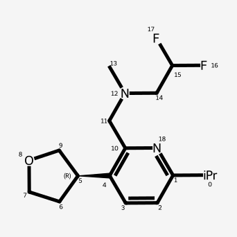 CC(C)c1ccc([C@H]2CCOC2)c(CN(C)CC(F)F)n1